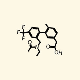 CCN(Cc1cc(C(F)(F)F)ccc1-c1cc(CC(=O)O)ccc1C)C(C)=O